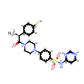 C[C@H](C(=O)N1CCN(c2ccc(S(=O)(=O)Nc3ccncn3)cc2)CC1)c1ccc(F)cc1